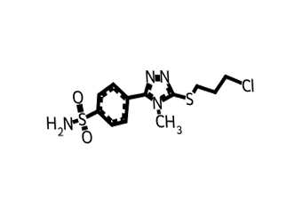 Cn1c(SCCCCl)nnc1-c1ccc(S(N)(=O)=O)cc1